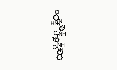 Cn1cc(NC(=O)c2cc3ccccc3cn2)cc1C(=O)Nc1cc(-c2nc3cc(Cl)ccc3[nH]2)n(C)c1